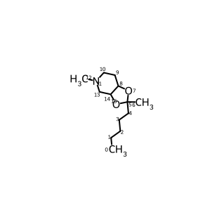 CCCCCC1(C)OC2CCN(C)CC2O1